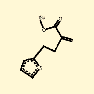 C=C(CCc1cccs1)C(=O)OC(C)(C)C